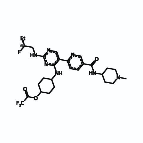 CC[C@H](F)CNc1ncc(-c2ccc(C(=O)NC3CCN(C)CC3)cn2)c(NC2CCC(OC(=O)C(F)(F)F)CC2)n1